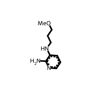 COCCCNc1cccnc1N